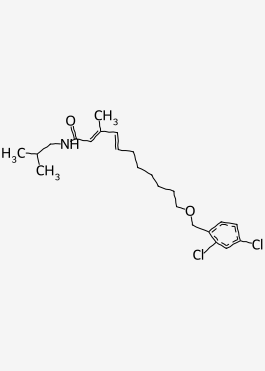 CC(C=CCCCCCCOCc1ccc(Cl)cc1Cl)=CC(=O)NCC(C)C